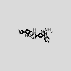 CN1CCN(c2nc(N)nc3cc(C(=O)N[C@@H](Cc4ccc(-c5cnn(C)c5)cc4)C(=O)O)ccc23)CC1